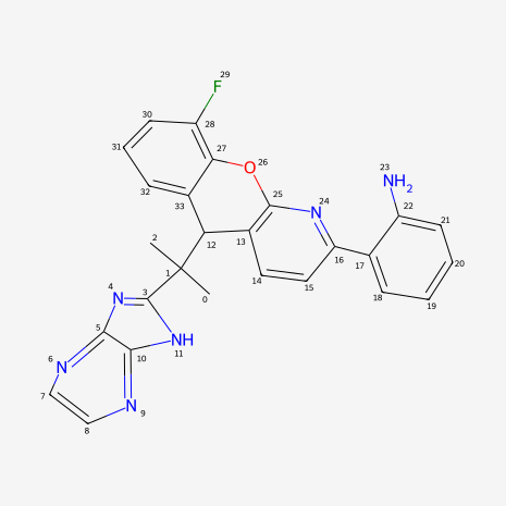 CC(C)(c1nc2nccnc2[nH]1)C1c2ccc(-c3ccccc3N)nc2Oc2c(F)cccc21